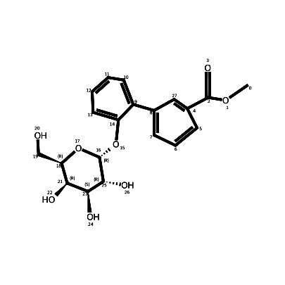 COC(=O)c1cccc(-c2ccccc2O[C@H]2O[C@H](CO)[C@H](O)[C@H](O)[C@H]2O)c1